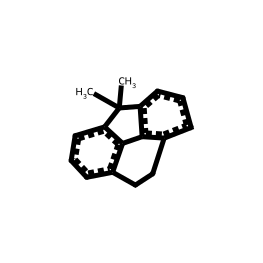 CC1(C)c2cccc3c2-c2c(cccc21)CC3